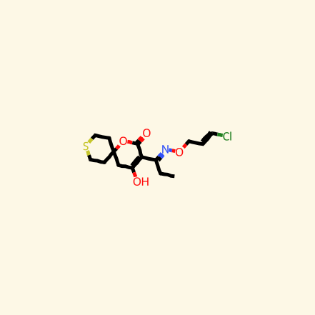 CCC(=NOCC=CCl)C1=C(O)CC2(CCSCC2)OC1=O